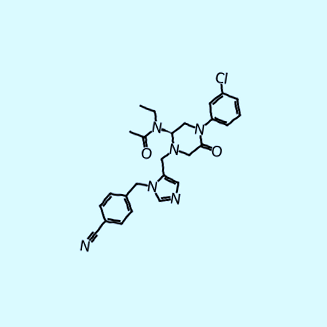 CCN(C(C)=O)[C@H]1CN(c2cccc(Cl)c2)C(=O)CN1Cc1cncn1Cc1ccc(C#N)cc1